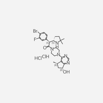 C[C@@H]1C[C@@H](O)c2ncnc(N3CCN(C(=O)[C@@H](c4ccc(Br)c(F)c4)[C@@H]4CCC(C)(C)N4)CC3)c21.Cl.Cl